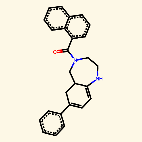 O=C(c1cccc2ccccc12)N1CCNC2=CC=C(c3ccccc3)CC2C1